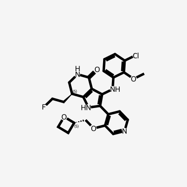 COc1c(Cl)cccc1Nc1c(-c2ccncc2OC[C@@H]2CCO2)[nH]c2c1C(=O)NC[C@@H]2CCF